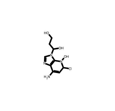 NC1=CC(Cl)N(O)c2c1ncn2C(O)CCO